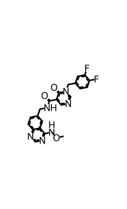 CONc1ncnc2ccc(CNC(=O)c3cncn(Cc4ccc(F)c(F)c4)c3=O)cc12